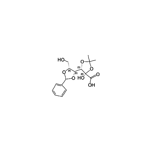 CC1(C)O[C@@H]([C@@H]2OC(c3ccccc3)O[C@@H]2CO)[C@](O)(C(=O)O)O1